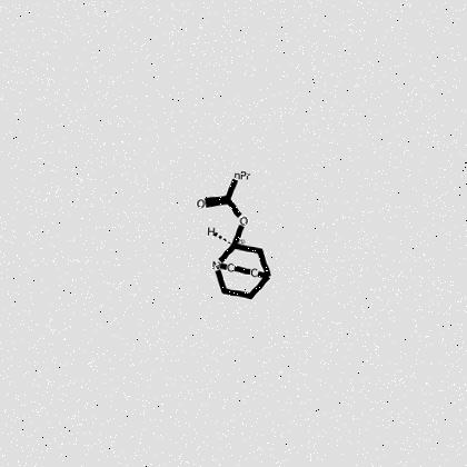 CCCC(=O)O[C@H]1CC2CCN1CC2